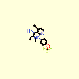 C#Cc1ccnc(Nc2ccc(OC(F)(F)F)cc2)c1C(=N)C(CC)CC